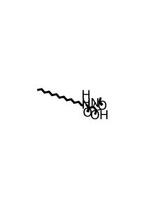 CCCCCCCCCCCCCNC(=O)[C@@H](NC(C)=O)[C@@H](C)O